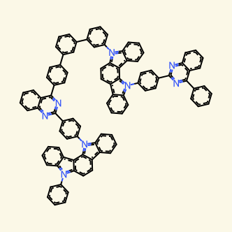 c1ccc(-c2nc(-c3ccc(-n4c5ccccc5c5ccc6c(c7ccccc7n6-c6cccc(-c7cccc(-c8ccc(-c9nc(-c%10ccc(-n%11c%12ccccc%12c%12ccc%13c(c%14ccccc%14n%13-c%13ccccc%13)c%12%11)cc%10)nc%10ccccc9%10)cc8)c7)c6)c54)cc3)nc3ccccc23)cc1